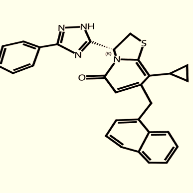 O=c1cc(Cc2cccc3ccccc23)c(C2CC2)c2n1[C@H](c1nc(-c3ccccc3)n[nH]1)CS2